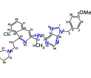 COc1ccc(Cn2cnc3c(NC(C)c4cc5cccc(Cl)c5c(CCN5CCOCC5)n4)ncnc32)cc1